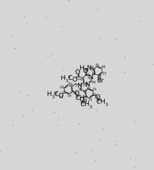 COC(=O)c1c(N(Cc2ccc(OC)cc2OC)Cc2ccc(OC)cc2OC)ncn(-c2c(N)cccc2Br)c1=O